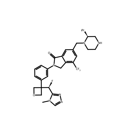 CC(C)[C@H]1CNCCN1Cc1cc2c(c(C(F)(F)F)c1)CN(c1cccc(C3([C@@H](F)c4nncn4C)COC3)c1)C2=O